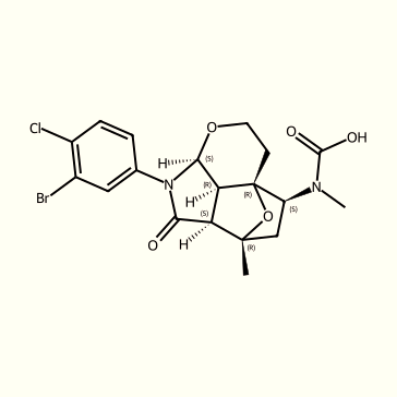 CN(C(=O)O)[C@H]1C[C@@]2(C)O[C@@]13CCO[C@H]1[C@@H]3[C@@H]2C(=O)N1c1ccc(Cl)c(Br)c1